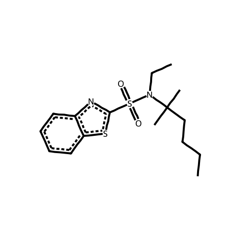 CCCCC(C)(C)N(CC)S(=O)(=O)c1nc2ccccc2s1